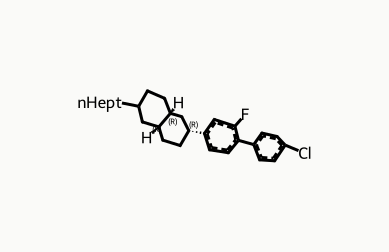 CCCCCCCC1CC[C@@H]2C[C@H](c3ccc(-c4ccc(Cl)cc4)c(F)c3)CC[C@@H]2C1